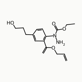 C=CCOC(=C)c1cc(CCCO)ccc1N(N)C(=O)OCC